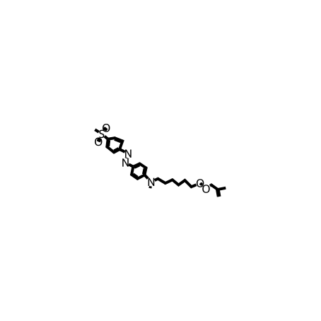 C=C(C)COOCCCCCCN(C)c1ccc(/N=N/c2ccc(S(C)(=O)=O)cc2)cc1